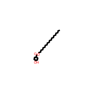 CCCCCCCCCCCCCCCCCCCCOC(=O)c1ccc(O)cc1